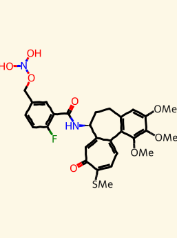 COc1cc2c(c(OC)c1OC)-c1ccc(SC)c(=O)cc1[C@@H](NC(=O)c1cc(CON(O)O)ccc1F)CC2